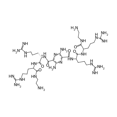 N=C(N)NCCCC(NC(=O)c1nc(N)c(C(=O)N[C@@H](CCCNC(=N)N)C(=O)NC(CCCNC(=N)N)C(=O)NCCN)nc1N)C(=O)NC(CCCNC(=N)N)C(=O)NCCN